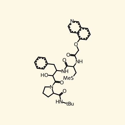 CSCC(NC(=O)COc1cccc2cnccc12)C(=O)NC(Cc1ccccc1)C(O)C(=O)N1CCCC1C(=O)NC(C)(C)C